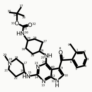 Cc1ccccc1C(=O)c1c[nH]c2nc(NC3CCN(C)CC3)nc(NC3CCC(NC(=O)OC(C)(C)C)CC3)c12